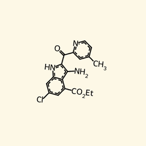 CCOC(=O)c1cc(Cl)cc2[nH]c(C(=O)c3cc(C)ccn3)c(N)c12